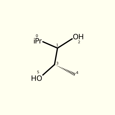 CC(C)C(O)[C@H](C)O